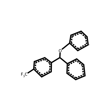 FC(F)(F)c1ccc(C(Oc2c[c]ccc2)c2ccccc2)cc1